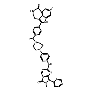 CC(c1ccc(-c2[nH]c3cc(F)cc4c3c2CCNC4=O)cc1)N1CCN(c2ccc(Nc3ncc4c(=O)n(C)n(-c5ccccn5)c4n3)cc2)CC1